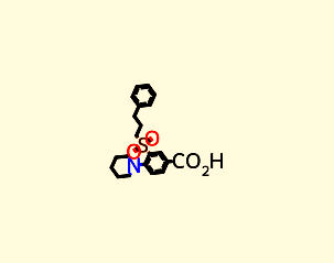 O=C(O)c1ccc(N2CCCCC2)c(S(=O)(=O)CCCc2ccccc2)c1